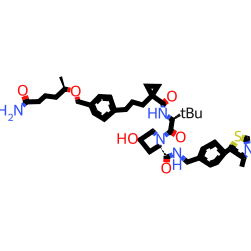 Cc1ncsc1-c1ccc(CNC(=O)[C@@H]2C[C@@H](O)CN2C(=O)[C@@H](NC(=O)C2(CCCc3ccc(CO[C@H](C)CCCC(N)=O)cc3)CC2)C(C)(C)C)cc1